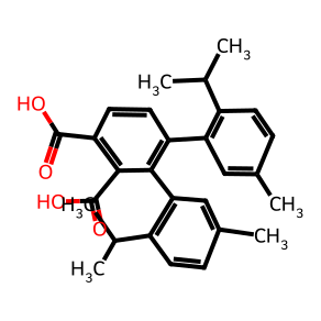 Cc1ccc(C(C)C)c(-c2ccc(C(=O)O)c(C(=O)O)c2-c2cc(C)ccc2C(C)C)c1